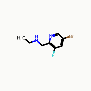 CCNCc1ncc(Br)cc1F